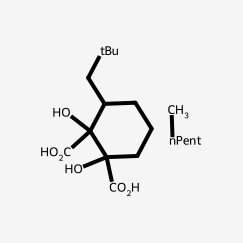 CC(C)(C)CC1CCCC(O)(C(=O)O)C1(O)C(=O)O.CCCCCC